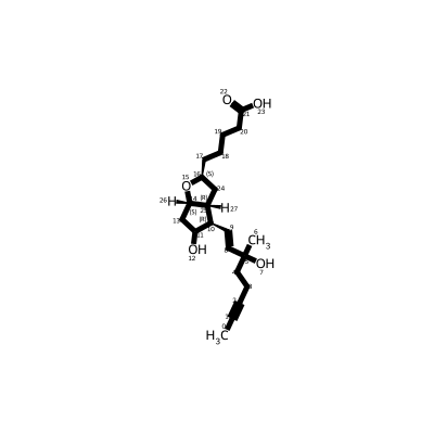 CC#CCCC(C)(O)C=C[C@H]1C(O)C[C@@H]2O[C@@H](CCCCC(=O)O)C[C@@H]21